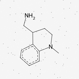 CN1CCC(CN)c2ccccc21